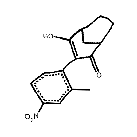 Cc1cc([N+](=O)[O-])ccc1C1=C(O)C2CCC(C2)C1=O